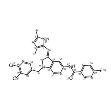 Cc1cc(C)c(/C=C2\CN(Cc3ccc(Cl)c(Cl)c3)c3ccc(NC(=O)c4ccc(F)cc4)cc32)[nH]1